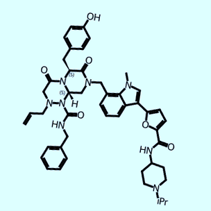 C=CCN1CC(=O)N2[C@@H](Cc3ccc(O)cc3)C(=O)N(Cc3cccc4c(-c5ccc(C(=O)NC6CCN(C(C)C)CC6)o5)cn(C)c34)C[C@@H]2N1C(=O)NCc1ccccc1